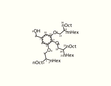 CCCCCCCCC(CCCCCC)COc1cc(CO)cc(OCC(CCCCCC)CCCCCCCC)c1OCC(CCCCCC)CCCCCCCC